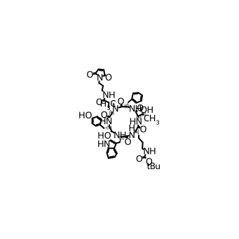 C[C@@H](O)[C@@H]1NC(=O)[C@H](CCCCNC(=O)OC(C)(C)C)NC(=O)[C@@H](Cc2c[nH]c3ccccc23)NC(O)[C@H](Cc2ccc(O)cc2)NC(=O)[C@H](CCC(=O)NCCCN2C(=O)C=CC2=O)N(C)C(=O)[C@H](Cc2ccccc2)NC1=O